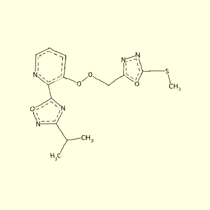 CSc1nnc(COOc2cccnc2-c2nc(C(C)C)no2)o1